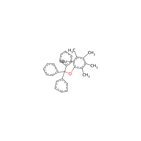 CCCCc1c(C)c(C)c(C)c(C)c1OC(c1ccccc1)(c1ccccc1)c1ccccc1